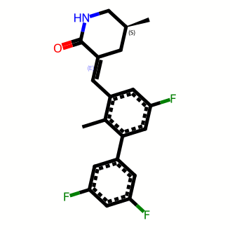 Cc1c(/C=C2\C[C@H](C)CNC2=O)cc(F)cc1-c1cc(F)cc(F)c1